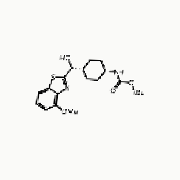 COc1cccc2sc(C(O)[C@H]3CC[C@H](NC(=O)OC(C)(C)C)CC3)nc12